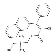 CC(C)(CO)COC(=O)C(C#N)=C(c1ccccc1)c1ccc2ccccc2c1